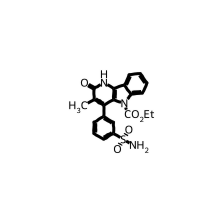 CCOC(=O)n1c2ccccc2c2[nH]c(=O)c(C)c(-c3cccc(S(N)(=O)=O)c3)c21